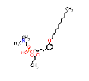 CCCCCCCCCCCCOc1cccc(CCC(COP(O)OCCN(C)C)OC(=O)CCC)c1